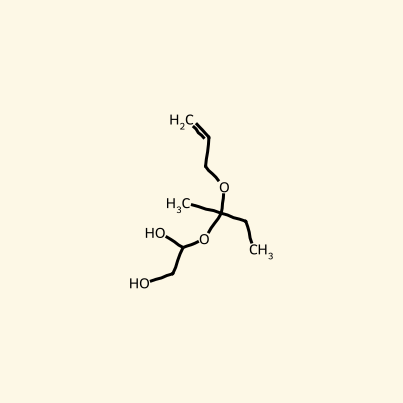 C=CCOC(C)(CC)OC(O)CO